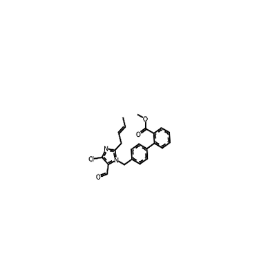 CC=CCc1nc(Cl)c(C=O)n1Cc1ccc(-c2ccccc2C(=O)OC)cc1